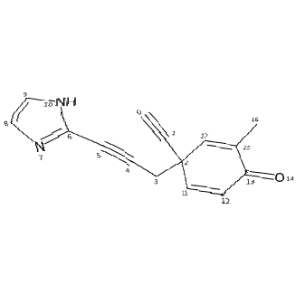 C#CC1(CC#Cc2ncc[nH]2)C=CC(=O)C(C)=C1